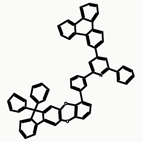 c1ccc(-c2cc(-c3ccc4c5ccccc5c5ccccc5c4c3)cc(-c3cccc(-c4cccc5c4Oc4cc6c(cc4O5)-c4ccccc4C6(c4ccccc4)c4ccccc4)c3)n2)cc1